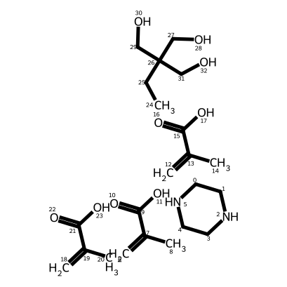 C1CNCCN1.C=C(C)C(=O)O.C=C(C)C(=O)O.C=C(C)C(=O)O.CCC(CO)(CO)CO